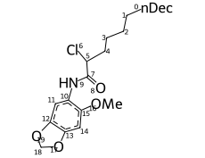 CCCCCCCCCCCCCCC(Cl)C(=O)Nc1cc2c(cc1OC)OCO2